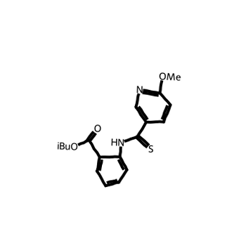 COc1ccc(C(=S)Nc2ccccc2C(=O)OCC(C)C)cn1